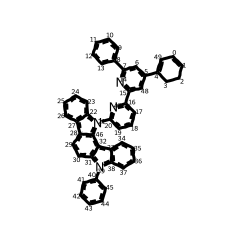 C1=CCCC(c2cc(-c3ccccc3)nc(-c3cccc(-n4c5ccccc5c5ccc6c(c7ccccc7n6-c6ccccc6)c54)n3)c2)=C1